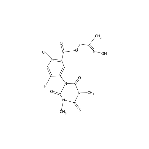 CC(COC(=O)c1cc(-n2c(=O)n(C)c(=S)n(C)c2=O)c(F)cc1Cl)=NO